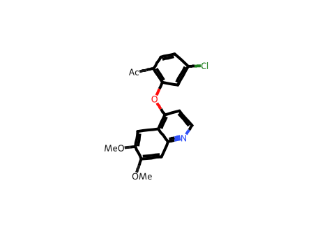 COc1cc2nccc(Oc3cc(Cl)ccc3C(C)=O)c2cc1OC